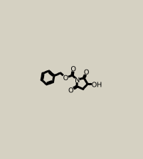 O=C1CC(O)C(=O)N1C(=O)OCc1ccccc1